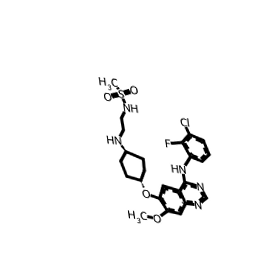 COc1cc2ncnc(Nc3cccc(Cl)c3F)c2cc1O[C@H]1CC[C@H](NCCNS(C)(=O)=O)CC1